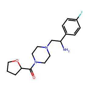 NC(CN1CCN(C(=O)C2CCCO2)CC1)c1ccc(F)cc1